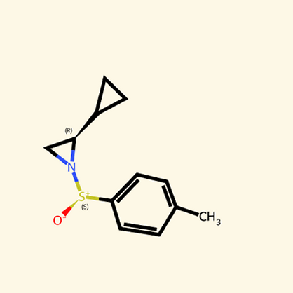 Cc1ccc([S@@+]([O-])N2C[C@H]2C2CC2)cc1